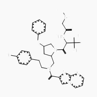 CNCC(=O)NC(C(=O)N1CC(Oc2ccccc2)CC1CN(CCc1ccc(F)cc1)C(=O)c1cn2cccnc2n1)C(C)(C)C